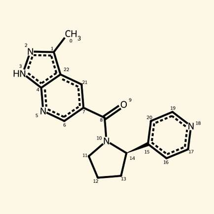 Cc1n[nH]c2ncc(C(=O)N3CCC[C@@H]3c3ccncc3)cc12